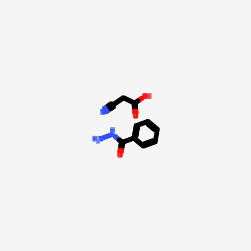 N#CCC(=O)O.NNC(=O)c1ccccc1